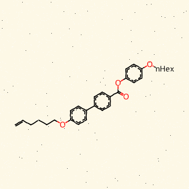 C=CCCCCOc1ccc(-c2ccc(C(=O)Oc3ccc(OCCCCCC)cc3)cc2)cc1